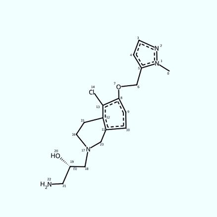 Cn1nccc1COc1ccc2c(c1Cl)CCN(C[C@@H](O)CN)C2